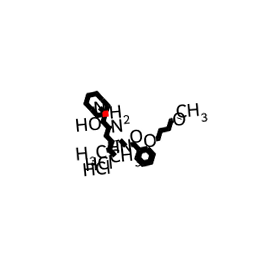 COCCCCOc1ccccc1C(=O)NC[C@@H](C[C@H](N)[C@@H](O)CN1C2CCCC1CCC2)C(C)C.Cl.Cl